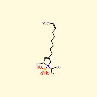 CCCCCCCC/C=C\CCCCCCCC[N+](C(CC)C(C)CC)(C(CC)C(C)CC)P(=O)(O)O